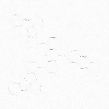 c1ccc2cc3cc(-c4c5cccc(-c6cccc7c6c6cccc8c9ccccc9n7c86)c5cc5c(-c6cccc7c6c6cccc8c9ccccc9n7c86)cccc45)ccc3cc2c1